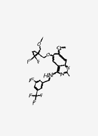 COCC1(COc2cc3c(NCc4cc(F)cc(C(F)(F)F)c4)nc(C)nc3cc2OC)CC1(F)F